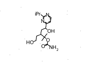 CC(C)c1nccc(C(O)CC(CCO)C(C)(C)OC(N)=O)n1